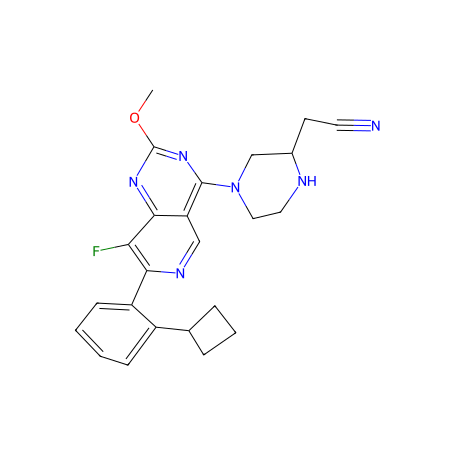 COc1nc(N2CCNC(CC#N)C2)c2cnc(-c3ccccc3C3CCC3)c(F)c2n1